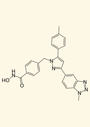 Cc1ccc(-c2cc(-c3ccc4c(c3)nnn4C)nn2Cc2ccc(C(=O)NO)cc2)cc1